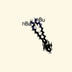 CCCC/C=C\C/C=C\CCCCCCCCC1(CCCCCCCC/C=C\C/C=C\CCCC)O[C@@H]2[C@@H]3CCC[C@@H]3[C@@H]2O1